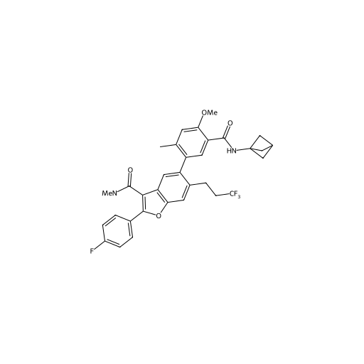 CNC(=O)c1c(-c2ccc(F)cc2)oc2cc(CCC(F)(F)F)c(-c3cc(C(=O)NC45CC(C4)C5)c(OC)cc3C)cc12